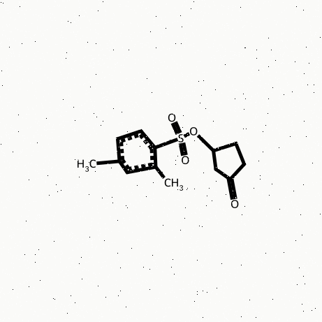 Cc1ccc(S(=O)(=O)OC2CCC(=O)C2)c(C)c1